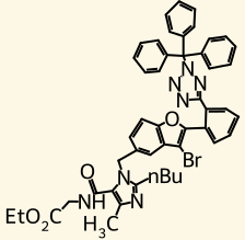 CCCCc1nc(C)c(C(=O)NCC(=O)OCC)n1Cc1ccc2oc(-c3ccccc3-c3nnn(C(c4ccccc4)(c4ccccc4)c4ccccc4)n3)c(Br)c2c1